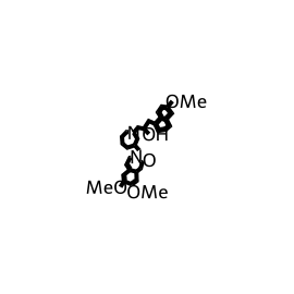 COC1=CC2=CCN(CC3CCCCN(CC(O)Cc4cccc5cc(OC)ccc45)C3)C(=O)CC2C=C1OC